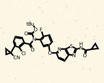 CC(C)(C)OC(=O)N(C(=O)c1cccc(C2(C#N)CC2)c1Cl)c1cc(Oc2ccc3nc(NC(=O)C4CC4)sc3n2)ccc1F